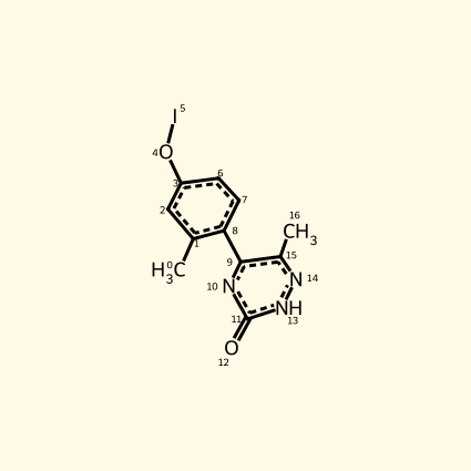 Cc1cc(OI)ccc1-c1nc(=O)[nH]nc1C